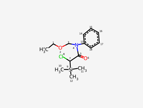 CCOCN(C(=O)C(Cl)[Si](C)(C)C)c1ccccc1